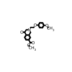 COC(=O)c1ccc2c(c1)CN(CCOc1ccc(OC)cc1)CC2=O